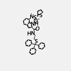 CN(c1cccc2cc(C(=O)NCCSC(c3ccccc3)(c3ccccc3)c3ccccc3)[nH]c12)[S+]([O-])c1cccs1